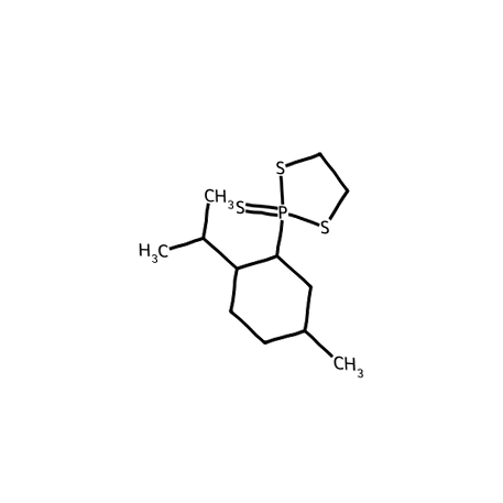 CC1CCC(C(C)C)C(P2(=S)SCCS2)C1